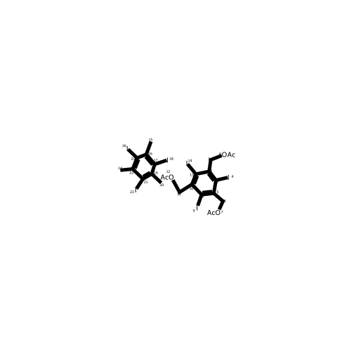 CC(=O)OCc1c(I)c(COC(C)=O)c(I)c(COC(C)=O)c1I.Cc1c(I)c(C)c(I)c(C)c1I